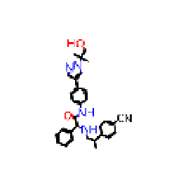 CC(CNC(C(=O)Nc1ccc(-c2cnn(C(C)(C)CO)c2)cc1)c1ccccc1)c1ccc(C#N)cc1